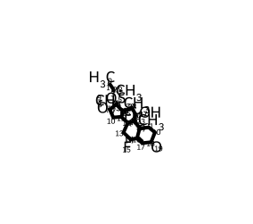 CCCO[C@]1(SC)[C@H](OC)CC2C3C[C@H](F)C4=CC(=O)CC[C@]4(C)[C@@]3(F)[C@@H](O)C[C@@]21C